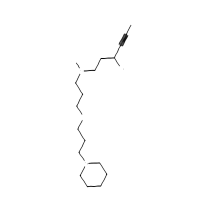 CC#CC(O)CCN(C)CCCOCCCN1CCCCC1